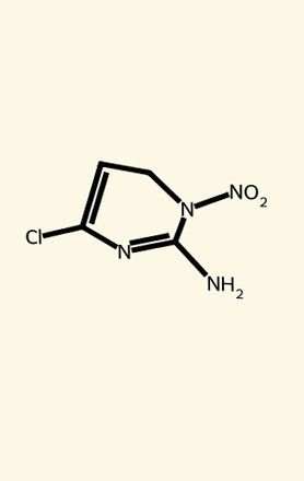 NC1=NC(Cl)=CCN1[N+](=O)[O-]